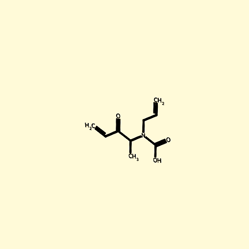 C=CCN(C(=O)O)C(C)C(=O)C=C